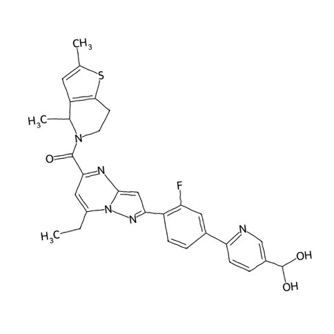 CCc1cc(C(=O)N2CCc3sc(C)cc3C2C)nc2cc(-c3ccc(-c4ccc(C(O)O)cn4)cc3F)nn12